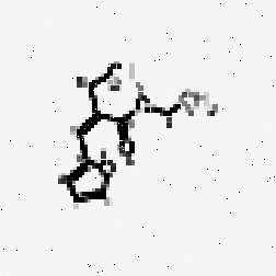 CCOC(=O)C(=Cc1ccco1)CC